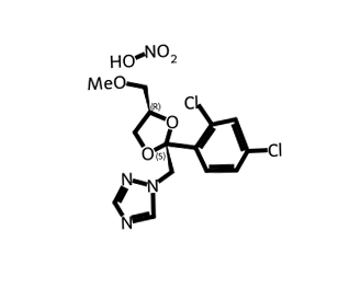 COC[C@@H]1CO[C@@](Cn2cncn2)(c2ccc(Cl)cc2Cl)O1.O=[N+]([O-])O